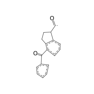 O=[C]C1CCc2c(C(=O)c3ccccc3)cccc21